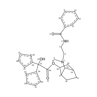 CN(CCNC(=O)c1ccccc1)C1C2CCC1C(OC(=O)C(O)(c1cccs1)c1cccs1)C2